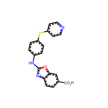 O=C(O)c1ccc2nc(Nc3ccc(Sc4ccncc4)cc3)oc2c1